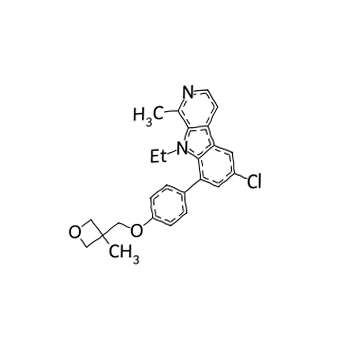 CCn1c2c(-c3ccc(OCC4(C)COC4)cc3)cc(Cl)cc2c2ccnc(C)c21